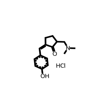 CN(C)CC1CCC(=Cc2ccc(O)cc2)C1=O.Cl